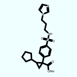 COC(=O)C1(c2ccc(S(=O)(=O)NCCCn3ccnc3)cc2)CC1C1CCCC1